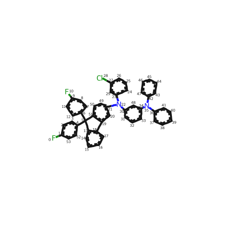 Fc1ccc(C2(c3ccc(F)cc3)c3ccccc3-c3cc(N(c4cccc(Cl)c4)c4cccc(N(c5ccccc5)c5ccccc5)c4)ccc32)cc1